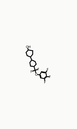 OC1CCC(C2CCC(C(F)(F)Oc3cc(F)c(F)c(F)c3)CC2)CC1